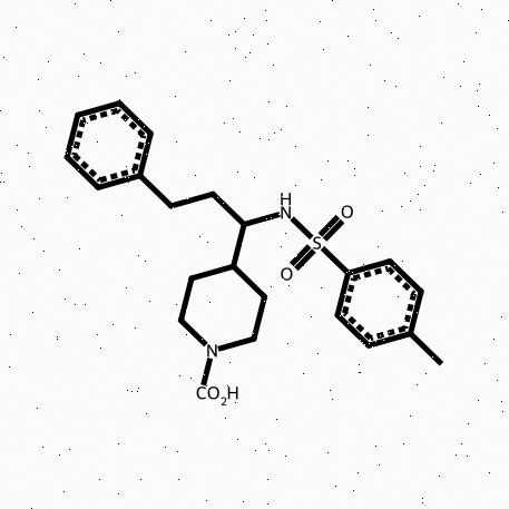 Cc1ccc(S(=O)(=O)NC(CCc2ccccc2)C2CCN(C(=O)O)CC2)cc1